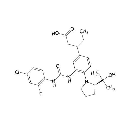 CCC(CC(=O)O)c1ccc(N2CCC[C@@H]2C(C)(C)O)c(NC(=O)Nc2ccc(Cl)cc2F)c1